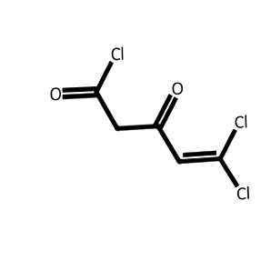 O=C(Cl)CC(=O)C=C(Cl)Cl